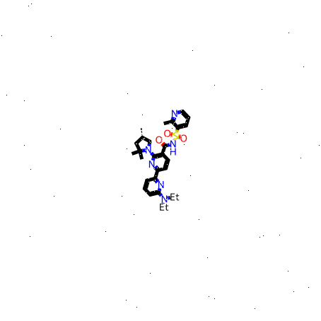 CCN(CC)c1cccc(-c2ccc(C(=O)NS(=O)(=O)c3cccnc3C)c(N3C[C@@H](C)CC3(C)C)n2)n1